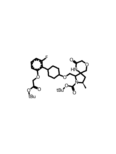 C[C@@H]1CC2(COCC(=O)N2)C(COC2CCC(c3c(F)cccc3OCC(=O)OC(C)(C)C)CC2)N1C(=O)OC(C)(C)C